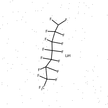 FC(F)C(F)(F)C(F)(F)C(F)(F)C(F)(F)C(F)(F)C(F)(F)C(F)(F)F.[LiH]